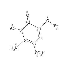 CCOC1=CC(C(=O)O)=C(N)C(C(C)=O)C1=O